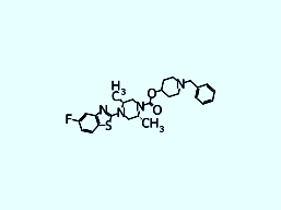 C[C@@H]1CN(c2nc3cc(F)ccc3s2)[C@@H](C)CN1C(=O)OC1CCN(Cc2ccccc2)CC1